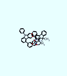 CC1(C)c2ccccc2-c2cc(-c3ccc4c(c3)c3c(-c5cccc(C6=C/CC/C(c7ccccc7)=N/C(c7ccccc7)=N\6)c5)cccc3n4-c3ccccc3)ccc21